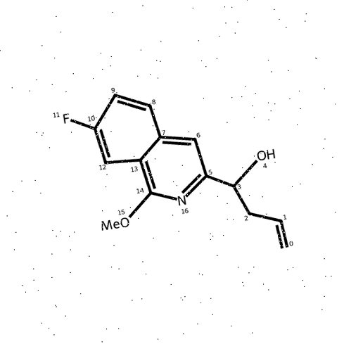 C=CCC(O)c1cc2ccc(F)cc2c(OC)n1